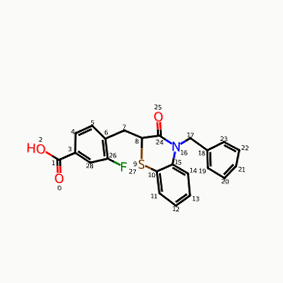 O=C(O)c1ccc(CC2Sc3ccccc3N(Cc3ccccc3)C2=O)c(F)c1